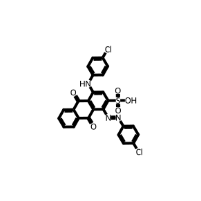 O=C1c2ccccc2C(=O)c2c(N=Nc3ccc(Cl)cc3)c(S(=O)(=O)O)cc(Nc3ccc(Cl)cc3)c21